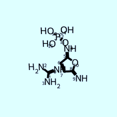 N=C(N)N.N=C1C=CC(=N)O1.O=P(O)(O)O